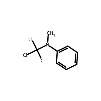 CN(c1ccccc1)C(Cl)(Cl)Cl